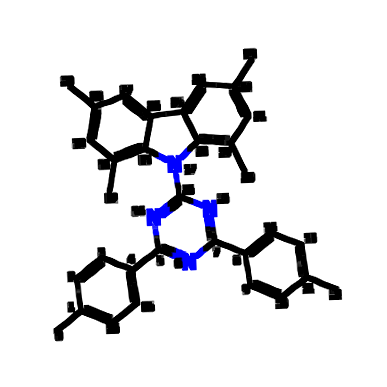 Cc1ccc(-c2nc(-c3ccc(C)cc3)nc(-n3c4c(C)cc(C)cc4c4cc(C)cc(C)c43)n2)cc1